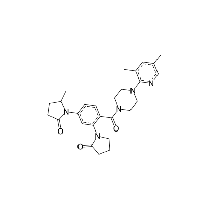 Cc1cnc(N2CCN(C(=O)c3ccc(N4C(=O)CCC4C)cc3N3CCCC3=O)CC2)c(C)c1